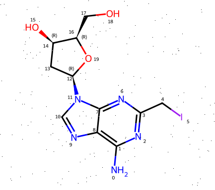 Nc1nc(CI)nc2c1ncn2[C@H]1C[C@@H](O)[C@@H](CO)O1